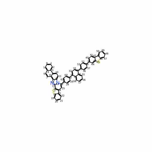 c1ccc2c(c1)ccc1c2ccc2c1nc1c3sc4ccccc4c3cc(-c3ccc(-c4ccc(-c5ccc(-c6ccc7c(c6)sc6ccccc67)cc5)c5ccccc45)cc3)n21